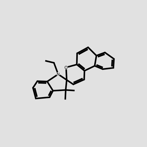 CCN1c2ccccc2C(C)(C)C12C=Cc1c(ccc3ccccc13)O2